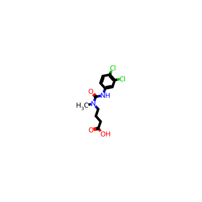 CN(CCCC(=O)O)C(=O)Nc1ccc(Cl)c(Cl)c1